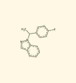 CC(c1ccc(F)cc1)n1ncc2c[c]ccc21